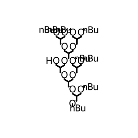 CCCCOCC(COCCCC)COCC(COCC(CO)COCC(COCC(COCCCC)COCCCC)COCC(COCCCC)COCCCC)COCC(COCCCC)COCCCC